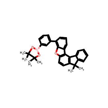 CC1(C)c2ccccc2-c2c1ccc1oc3c(-c4cccc(B5OC(C)(C)C(C)(C)O5)c4)cccc3c21